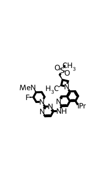 CN[C@H]1CCN(c2nccc(Nc3cc4c(C(C)C)ccc(N5C[C@H](CS(C)(=O)=O)[C@H]5C)c4cn3)n2)C[C@H]1F